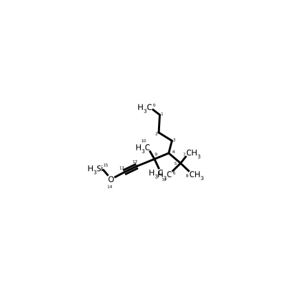 CCCCC(C(C)(C)C)C(C)(C)C#CO[SiH3]